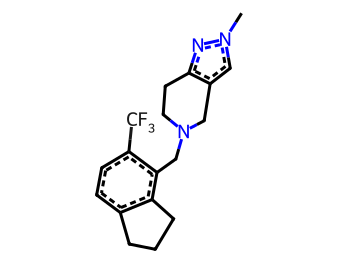 Cn1cc2c(n1)CCN(Cc1c(C(F)(F)F)ccc3c1CCC3)C2